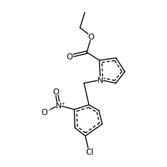 CCOC(=O)c1cccn1Cc1ccc(Cl)cc1[N+](=O)[O-]